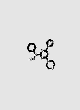 CCCCN(c1ccccc1)c1nc(N2CCOCC2)nc(-n2ccnc2)n1